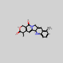 CC1C(=O)OCc2c1cc1n(c2=O)CC2=Cc3c(cccc3[N+](=O)[O-])NC21